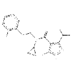 CC(C)c1ccccc1CCN(C(=S)c1c(C(F)F)n[nH]c1F)C1CC1